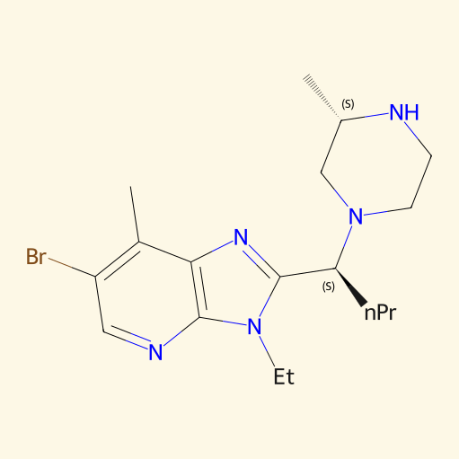 CCC[C@@H](c1nc2c(C)c(Br)cnc2n1CC)N1CCN[C@@H](C)C1